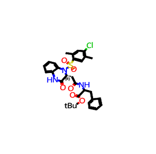 Cc1cc(S(=O)(=O)N2c3ccccc3NC(=O)[C@H]2CC(=O)NC(Cc2ccccc2)C(=O)OC(C)(C)C)c(C)cc1Cl